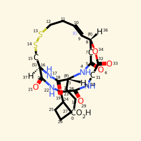 O=C(O)CC[C@H]1NC(=O)C[C@@H]2/C=C/CCSSC[C@@H](NC1=O)C(=O)NC(C1CCC1)C(=O)NCC(=O)O2